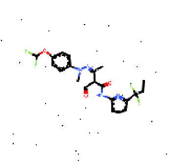 CCC(F)(F)c1cccc(NC(=O)C(C=O)/C(C)=N\N(C)c2ccc(OC(F)F)cc2)n1